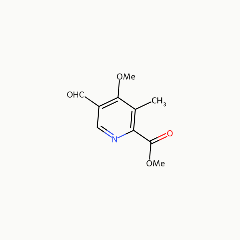 COC(=O)c1ncc(C=O)c(OC)c1C